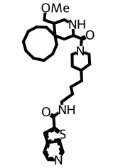 COCC1CNC(C(=O)N2CCC(CCCCNC(=O)c3cc4ccncc4s3)CC2)CC12CCCCCCCCC2